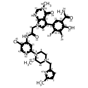 Cc1ccc(CN2CCN(c3cc(NC(=O)Cn4cc(-c5cc(C(N)=O)c(O)c(F)c5F)c5c(=O)n(C)cnc54)c(Cl)cn3)[C@@H](C)C2)s1